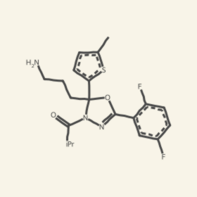 Cc1ccc(C2(CCCN)OC(c3cc(F)ccc3F)=NN2C(=O)C(C)C)s1